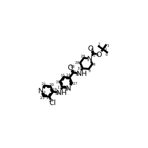 CC(C)(C)OC(=O)N1CCC(NC(=O)c2ccc(Nc3ccncc3Cl)nc2)CC1